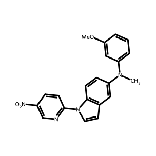 COc1cccc(N(C)c2ccc3c(ccn3-c3ccc([N+](=O)[O-])cn3)c2)c1